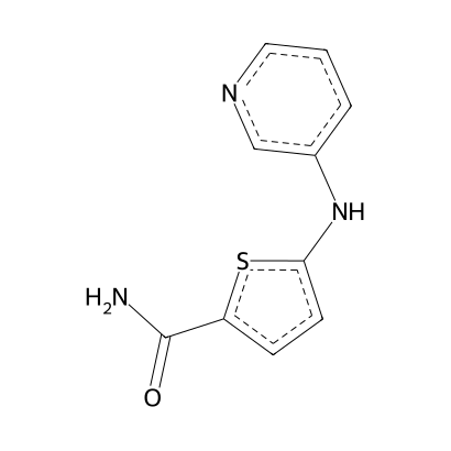 NC(=O)c1ccc(Nc2cccnc2)s1